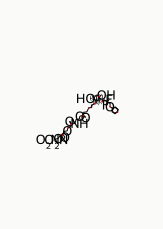 O=C(CCOCC(CO[N+](=O)[O-])O[N+](=O)[O-])NCCOC(=O)CCCC=CC[C@@H]1[C@@H](C=CC(F)(F)COc2ccccc2)[C@H](O)C[C@@H]1O